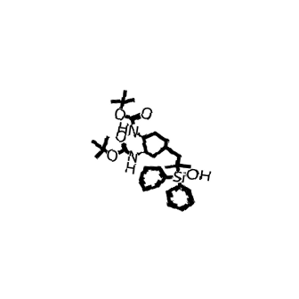 CC(C)(C)OC(=O)N[C@H]1CCC(CC(C)(C)[Si](O)(c2ccccc2)c2ccccc2)C[C@H]1NC(=O)OC(C)(C)C